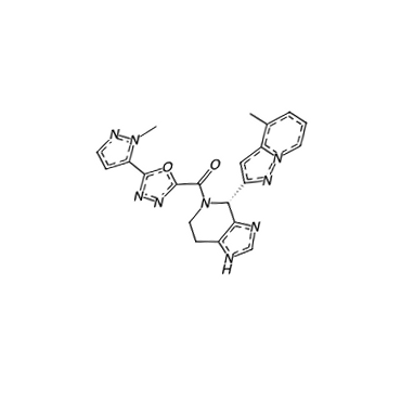 Cc1cccn2nc([C@@H]3c4nc[nH]c4CCN3C(=O)c3nnc(-c4ccnn4C)o3)cc12